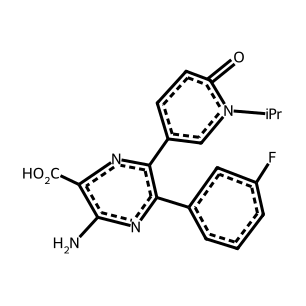 CC(C)n1cc(-c2nc(C(=O)O)c(N)nc2-c2cccc(F)c2)ccc1=O